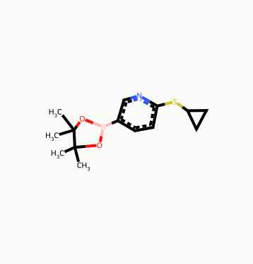 CC1(C)OB(c2ccc(SC3CC3)nc2)OC1(C)C